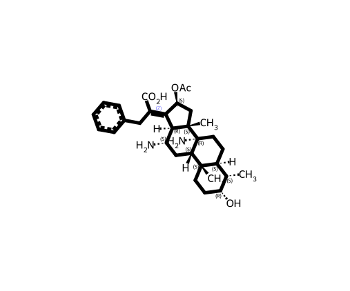 CC(=O)O[C@H]1C[C@@]2(C)[C@H](/C1=C(\Cc1ccccc1)C(=O)O)[C@@H](N)C[C@H]1[C@@]3(C)CC[C@@H](O)[C@@H](C)[C@@H]3CC[C@@]12N